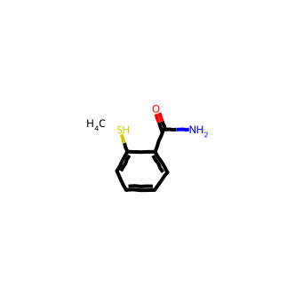 C.NC(=O)c1ccccc1S